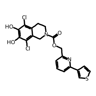 O=C(OCc1cccc(-c2ccsc2)n1)N1CCc2c(Cl)c(O)c(O)c(Cl)c2C1